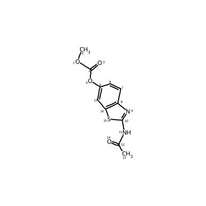 COC(=O)Oc1ccc2nc(NC(C)=O)sc2c1